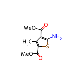 COC(=O)c1sc(N)c(C(=O)OC)c1C